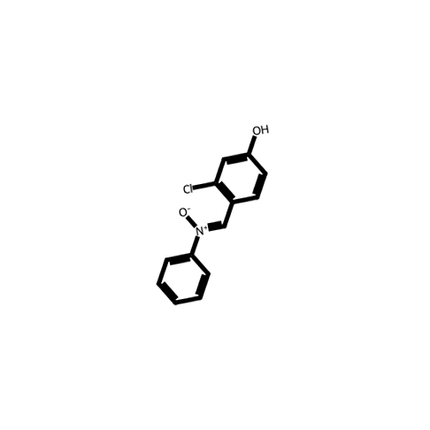 [O-][N+](=Cc1ccc(O)cc1Cl)c1ccccc1